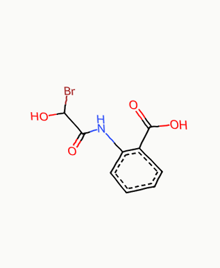 O=C(O)c1ccccc1NC(=O)C(O)Br